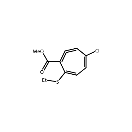 CCSC1=CC=C(Cl)C=C=C1C(=O)OC